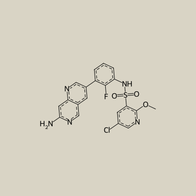 COc1ncc(Cl)cc1S(=O)(=O)Nc1cccc(-c2cnc3cc(N)ncc3c2)c1F